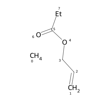 C.C=CCOC(=O)CC